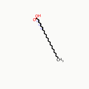 CCCCCCCCCCCCCCCC/C=C/C=C/C=C/C(=O)O